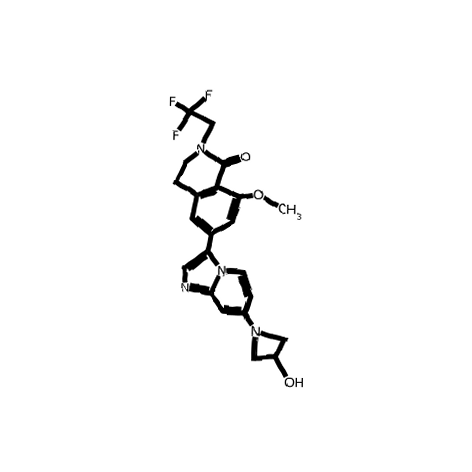 COc1cc(-c2cnc3cc(N4CC(O)C4)ccn23)cc2c1C(=O)N(CC(F)(F)F)CC2